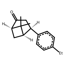 CCc1ccc([C@@H]2CC(=O)[C@@H]3C[C@H]2C3(C)C)cc1